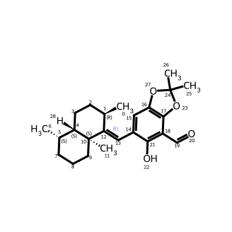 C[C@@H]1CC[C@H]2[C@@H](C)CCC[C@]2(C)/C1=C/c1cc2c(c(C=O)c1O)OC(C)(C)O2